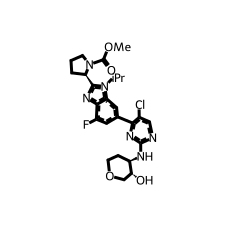 COC(=O)N1CCC[C@@H]1c1nc2c(F)cc(-c3nc(N[C@@H]4CCOC[C@H]4O)ncc3Cl)cc2n1C(C)C